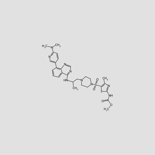 COC(=O)Nc1nc(C)c(S(=O)(=O)N2CCN(CC(C)Nc3ncnc4c(-c5ccc(N(C)C)nc5)cccc34)CC2)s1